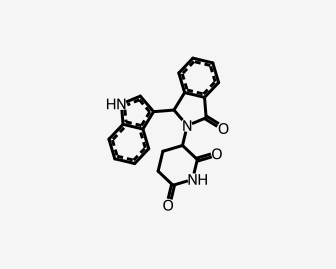 O=C1CCC(N2C(=O)c3ccccc3C2c2c[nH]c3ccccc23)C(=O)N1